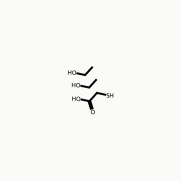 CCO.CCO.O=C(O)CS